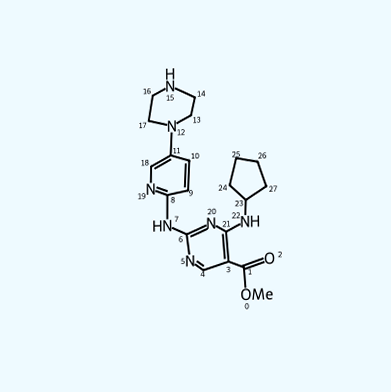 COC(=O)c1cnc(Nc2ccc(N3CCNCC3)cn2)nc1NC1CCCC1